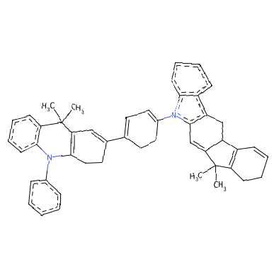 CC1(C)C2=Cc3c(c4ccccc4n3C3=CC=C(C4=CC5=C(CC4)N(c4ccccc4)c4ccccc4C5(C)C)CC3)CC2C2=C1CCC=C2